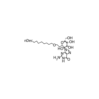 CCCCCCCCCCCCCCCCCCOCC[C]1O[C@H](CO)[C@H](O)[C@H](O)[C@]1(O)n1cnc2c(=O)[nH]c(N)nc21